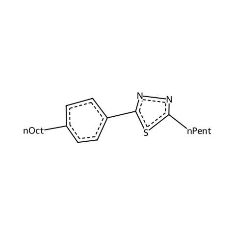 CCCCCCCCc1ccc(-c2nnc(CCCCC)s2)cc1